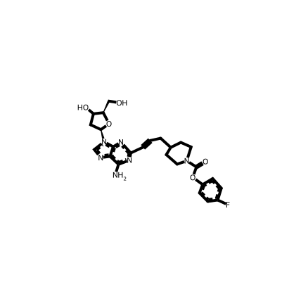 Nc1nc(C#CCC2CCN(C(=O)Oc3ccc(F)cc3)CC2)nc2c1ncn2[C@H]1CC(O)[C@@H](CO)O1